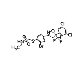 CCNS(=O)(=O)CSc1ccc(C2=NOC(c3cc(Cl)cc(Cl)c3)(C(F)(F)F)C2)cc1Br